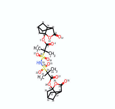 CC(C)(C(=O)OC12CC3CC(C(=O)O1)C2C3)S(=O)(=O)NS(=O)(=O)C(C)(C)C(=O)OC12CC3CC(C(=O)O1)C2C3